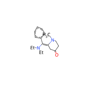 CCN(CC)C(=C1CC(=O)CCN1C)c1ccccc1